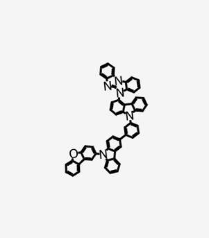 c1cc(-c2ccc3c(c2)c2ccccc2n3-c2ccc3oc4ccccc4c3c2)cc(-n2c3ccccc3c3c(-n4c5ccccc5n5c6ccccc6nc45)cccc32)c1